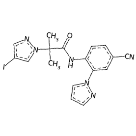 CC(C)(C(=O)Nc1ccc(C#N)cc1-n1cccn1)n1cc(I)cn1